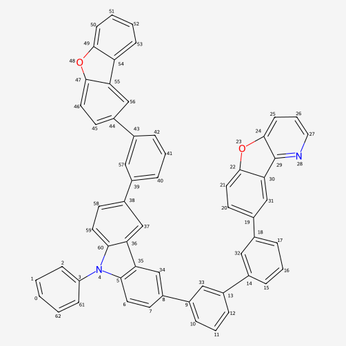 c1ccc(-n2c3ccc(-c4cccc(-c5cccc(-c6ccc7oc8cccnc8c7c6)c5)c4)cc3c3cc(-c4cccc(-c5ccc6oc7ccccc7c6c5)c4)ccc32)cc1